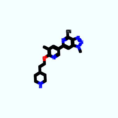 Cc1cc(-c2cc3c(nnn3C)c(C#N)n2)cnc1OCCC1CCNCC1